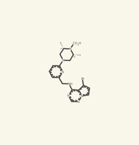 C[C@@H]1CN(c2cccc(CNc3ncnn4ccc(Br)c34)n2)C[C@H](C)N1C(=O)O